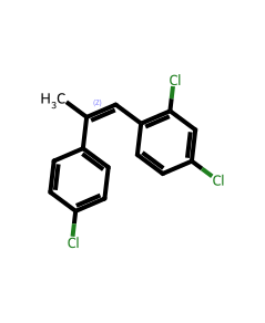 C/C(=C/c1ccc(Cl)cc1Cl)c1ccc(Cl)cc1